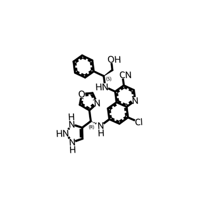 N#Cc1cnc2c(Cl)cc(N[C@H](C3=CNNN3)c3cocn3)cc2c1N[C@H](CO)c1ccccc1